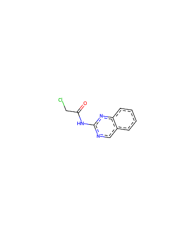 O=C(CCl)Nc1ncc2ccccc2n1